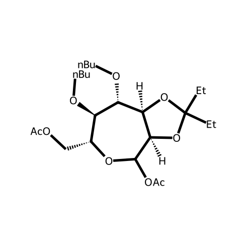 CCCCO[C@@H]1[C@H]2OC(CC)(CC)O[C@H]2C(OC(C)=O)O[C@H](COC(C)=O)[C@H]1OCCCC